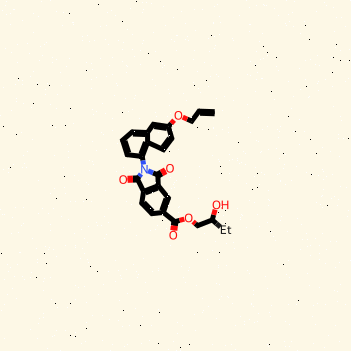 C=CCOc1ccc2c(N3C(=O)c4ccc(C(=O)OCC(O)CC)cc4C3=O)cccc2c1